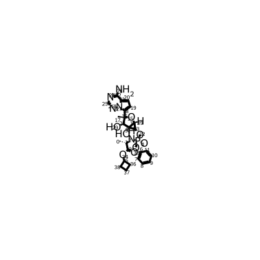 C[C@H](NP(=O)(Oc1ccccc1)OC1[C@H]2O[C@@](C)(c3ccc4c(N)ncnn34)[C@H](O)[C@@]12O)C(=O)OC1CCC1